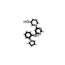 O[C@H]1CCCN(c2cc(Nc3ccccc3N3CCCC3)ncn2)C1